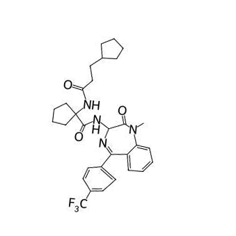 CN1C(=O)C(NC(=O)C2(NC(=O)CCC3CCCC3)CCCC2)N=C(c2ccc(C(F)(F)F)cc2)c2ccccc21